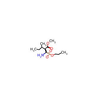 CCCOS(=O)(=O)C(N)=C(C(=O)OC)C(C)CC